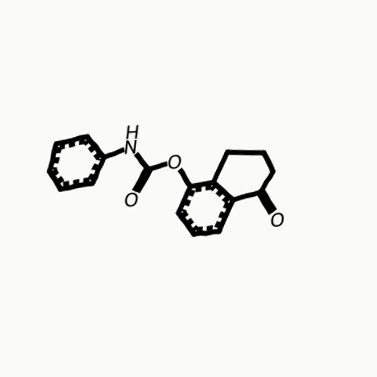 O=C(Nc1ccccc1)Oc1cccc2c1CCCC2=O